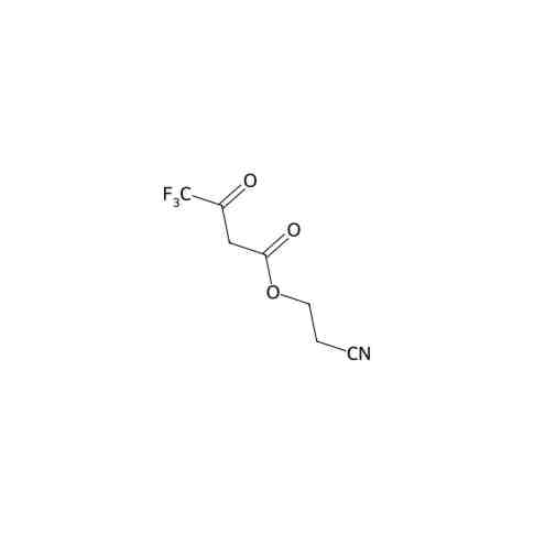 N#CCCOC(=O)CC(=O)C(F)(F)F